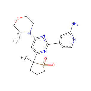 C[C@@H]1COCCN1c1cc(C2(C)CCCS2(=O)=O)nc(-c2ccnc(N)c2)n1